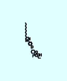 CCCCCCCCCc1cnc(-c2ccc(OC[C@H]3CC[C@H]([C@@](F)(CCCC)C(=O)O)CC3)cc2)nc1